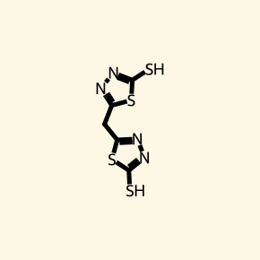 Sc1nnc(Cc2nnc(S)s2)s1